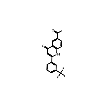 CC(=O)c1ccc2[nH]c(-c3cccc(C(F)(F)F)c3)cc(=O)c2c1